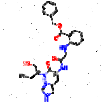 CC(C)C[C@@H](CO)NC(=O)[C@H](Cc1c[nH]cn1)NC(=O)CNc1ccccc1C(=O)OCc1ccccc1